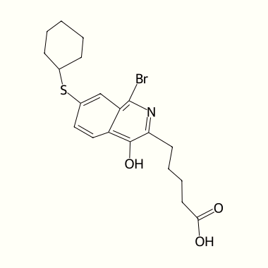 O=C(O)CCCCc1nc(Br)c2cc(SC3CCCCC3)ccc2c1O